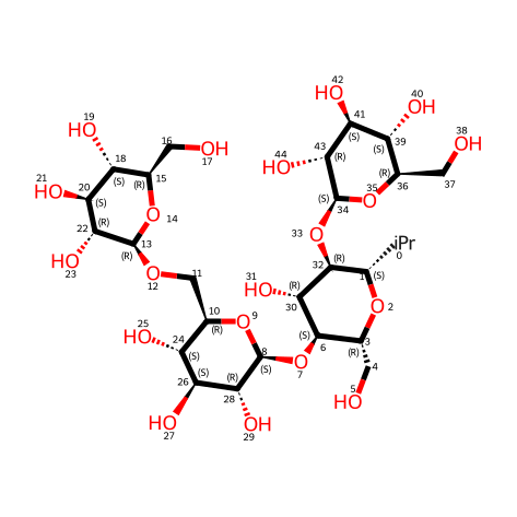 CC(C)[C@@H]1O[C@H](CO)[C@@H](O[C@@H]2O[C@H](CO[C@@H]3O[C@H](CO)[C@@H](O)[C@H](O)[C@H]3O)[C@@H](O)[C@H](O)[C@H]2O)[C@H](O)[C@H]1O[C@@H]1O[C@H](CO)[C@@H](O)[C@H](O)[C@H]1O